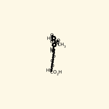 Cn1c(=O)n(C2CCC(=O)NC2=O)c2ccc(-c3cn(CCOCCOCCOCCNC(=O)O)nn3)cc21